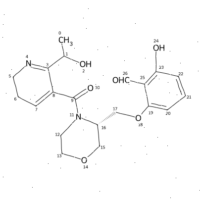 CC(O)C1=NCCC=C1C(=O)N1CCOC[C@H]1COc1cccc(O)c1C=O